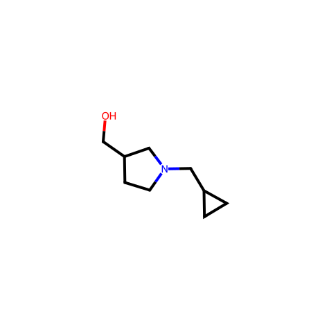 OCC1CCN(CC2CC2)C1